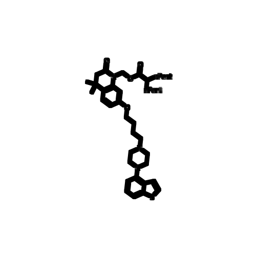 CCCCCC(CCCCC)C(=O)OCN1C(=O)CC(C)(C)c2ccc(OCCCCN3CCN(c4cccc5sccc45)CC3)cc21